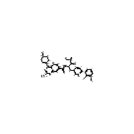 C=C(NC(Cc1ccc(-c2cccc(F)c2F)nc1)C(=O)N(C)C)c1ccc2c(N3CCN(C)CC3)nc(N)nc2c1